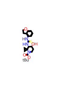 CC(C)(C)OC(=O)N1CC[C@H](O)[C@@H](NC(=S)Nc2cccc3c2CCO3)C12CC2